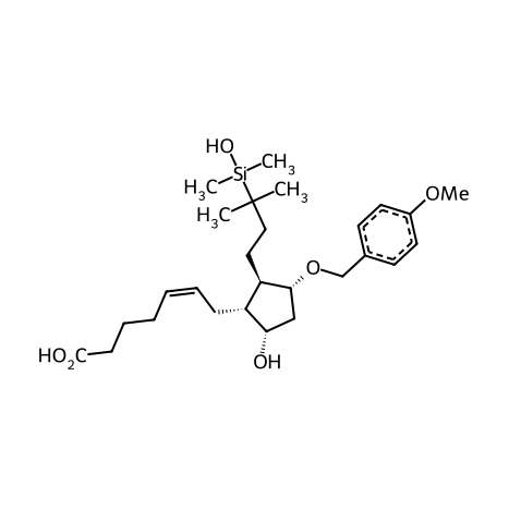 COc1ccc(CO[C@@H]2C[C@H](O)[C@H](C/C=C\CCCC(=O)O)[C@H]2CCC(C)(C)[Si](C)(C)O)cc1